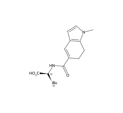 CC[C@H](C)[C@H](NC(=O)C1=Cc2ccn(C)c2CC1)C(=O)O